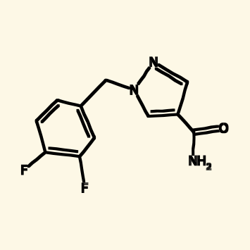 NC(=O)c1cnn(Cc2ccc(F)c(F)c2)c1